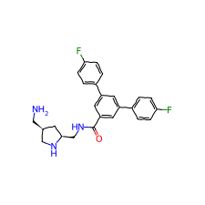 NC[C@@H]1CN[C@H](CNC(=O)c2cc(-c3ccc(F)cc3)cc(-c3ccc(F)cc3)c2)C1